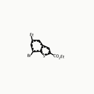 CCOC(=O)c1cc2cc(CC)cc(Br)c2s1